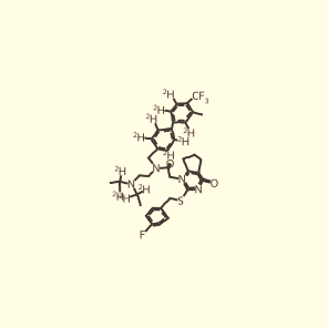 [2H]c1c([2H])c(-c2c([2H])c([2H])c(C(F)(F)F)c(C)c2[2H])c([2H])c([2H])c1CN(CCN(C([2H])([2H])C)C([2H])([2H])C)C(=O)Cn1c(SCc2ccc(F)cc2)nc(=O)c2c1CCC2